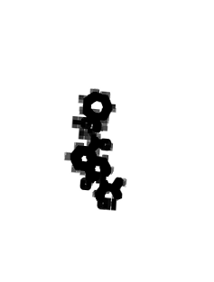 CC(C)C(CO)n1ccc2c(C(=O)NCC3(O)CCCCCC3)cccc2c1=O